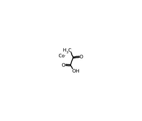 CC(=O)C(=O)O.[Co]